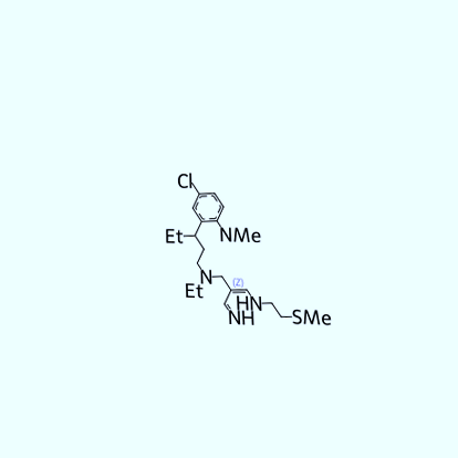 CCC(CCN(CC)C/C(C=N)=C/NCCSC)c1cc(Cl)ccc1NC